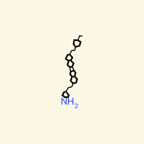 CCc1ccc(CCc2ccc3cc4c(cc3c2)-c2cc3ccc(CCc5ccc(N)cc5)cc3cc2-4)cc1